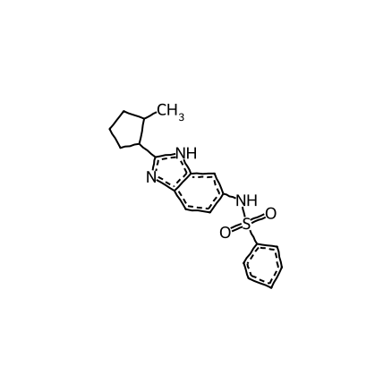 CC1CCCC1c1nc2ccc(NS(=O)(=O)c3ccccc3)cc2[nH]1